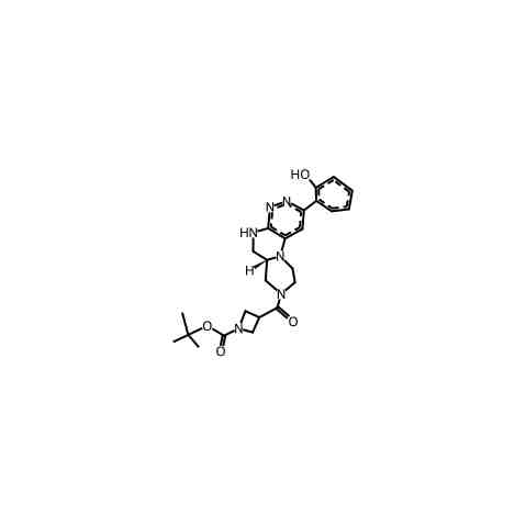 CC(C)(C)OC(=O)N1CC(C(=O)N2CCN3c4cc(-c5ccccc5O)nnc4NC[C@H]3C2)C1